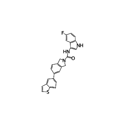 O=C(Nc1c[nH]c2ccc(F)cc12)N1Cc2ccc(-c3ccc4sccc4c3)cc2C1